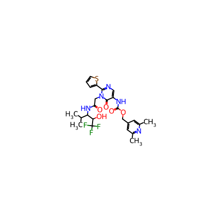 Cc1cc(COC(=O)Nc2cnc(-c3cccs3)n(CC(=O)NC(C(C)C)C(O)C(F)(F)F)c2=O)cc(C)n1